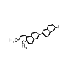 C=C/C=C\c1c(C)ccc2cc(-c3ccc4cc(I)ccc4c3)ccc12